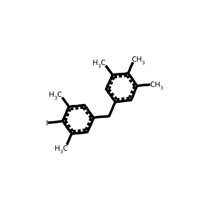 Cc1cc(Cc2cc(C)c(I)c(C)c2)cc(C)c1C